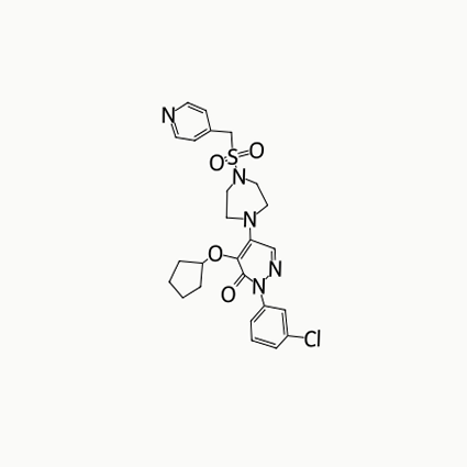 O=c1c(OC2CCCC2)c(N2CCN(S(=O)(=O)Cc3ccncc3)CC2)cnn1-c1cccc(Cl)c1